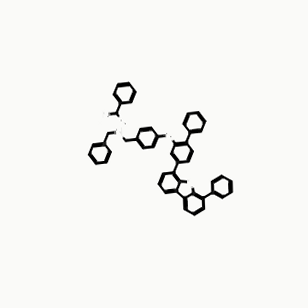 NC(NN(Cc1ccccc1)Cc1ccc(Nc2cc(-c3cccc4c3sc3c(-c5ccccc5)cccc34)ccc2-c2ccccc2)cc1)c1ccccc1